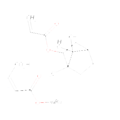 C=CC(=O)OC1CC2CCC1(C)C2(C)C.CCCCOC(=O)/C=C\C(=O)O